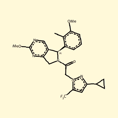 COc1ncc2c(n1)CN(C(=O)Cn1nc(C3CC3)cc1C(F)(F)F)[C@@H]2c1cccc(OC)c1C